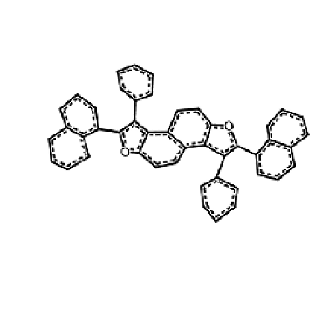 c1ccc(-c2c(-c3cccc4ccccc34)oc3ccc4c(ccc5oc(-c6cccc7ccccc67)c(-c6ccccc6)c54)c23)cc1